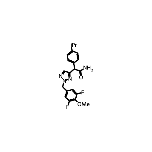 COc1c(F)cc(Cn2ncc(C(C(N)=O)c3ccc(C(C)C)cc3)n2)cc1F